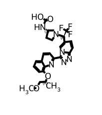 COC[C@@H](C)Oc1cccc2ccc(-c3nnc4ccc([C@@H](N5CC[C@H](NC(=O)O)C5)C(F)(F)F)cn34)nc12